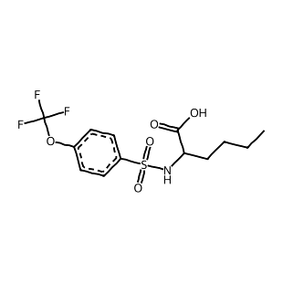 CCCCC(NS(=O)(=O)c1ccc(OC(F)(F)F)cc1)C(=O)O